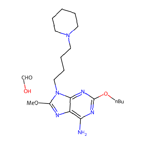 CCCCOc1nc(N)c2nc(OC)n(CCCCN3CCCCC3)c2n1.O=CO